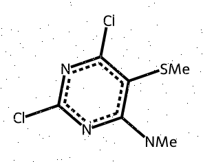 CNc1nc(Cl)nc(Cl)c1SC